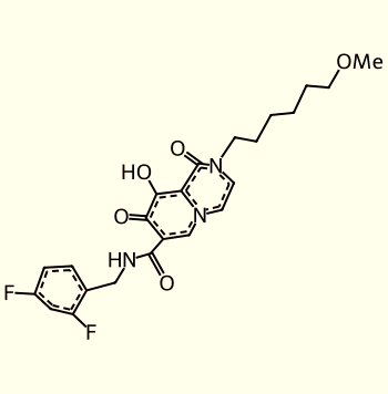 COCCCCCCn1ccn2cc(C(=O)NCc3ccc(F)cc3F)c(=O)c(O)c2c1=O